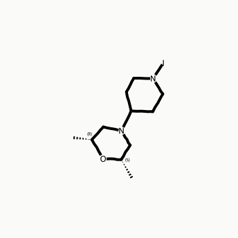 C[C@@H]1CN(C2CCN(I)CC2)C[C@H](C)O1